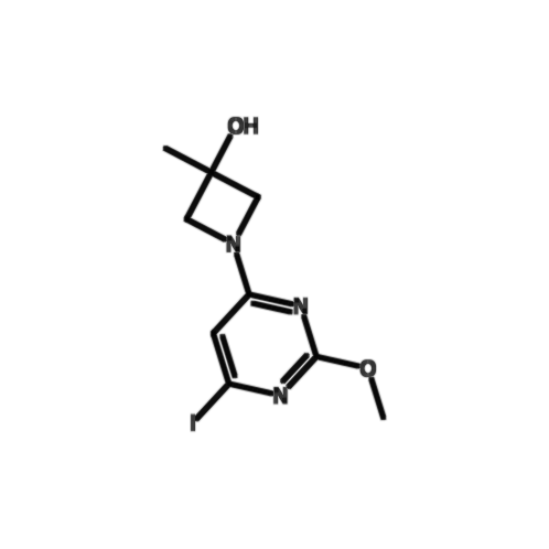 COc1nc(I)cc(N2CC(C)(O)C2)n1